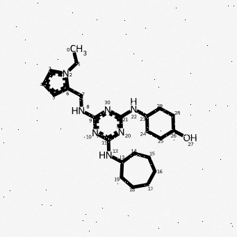 CCn1cccc1CNc1nc(NC2CCCCCC2)nc(NC2CCC(O)CC2)n1